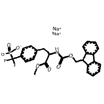 COC(=O)C(Cc1ccc(C(F)(F)P(=O)([O-])[O-])cc1)NC(=O)OCC1c2ccccc2-c2ccccc21.[Na+].[Na+]